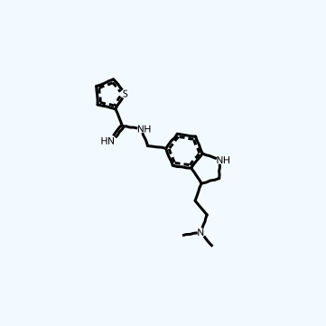 CN(C)CCC1CNc2ccc(CNC(=N)c3cccs3)cc21